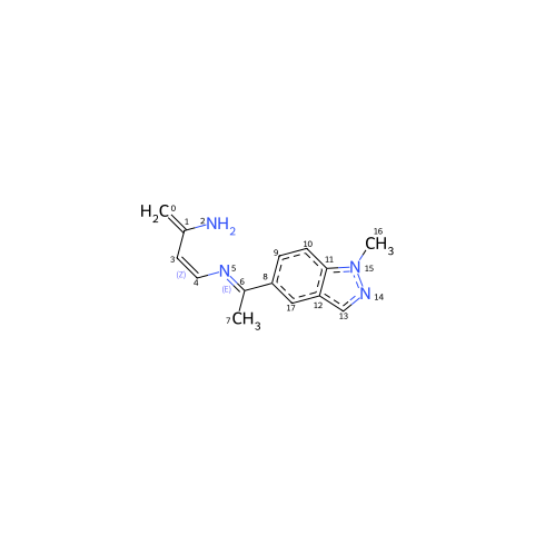 C=C(N)/C=C\N=C(/C)c1ccc2c(cnn2C)c1